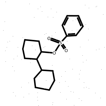 O=S(=O)(OC1CCCCC1C1CCCCC1)c1ccccc1